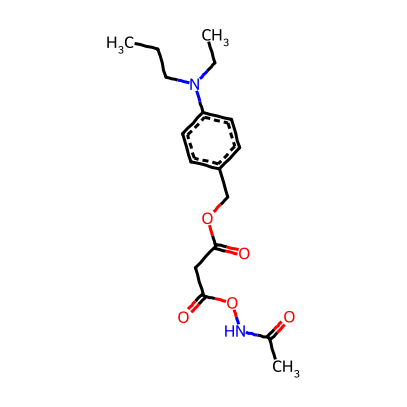 CCCN(CC)c1ccc(COC(=O)CC(=O)ONC(C)=O)cc1